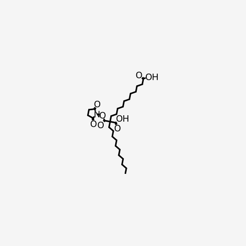 CCCCCCCCCCCC(CCCCCCCCCCC(=O)O)(C(=O)O)C(=O)ON1C(=O)CCC1=O